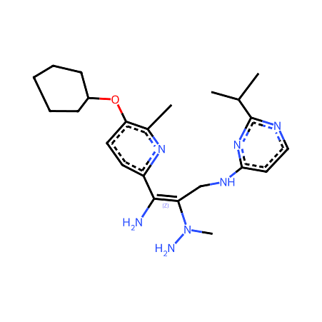 Cc1nc(/C(N)=C(\CNc2ccnc(C(C)C)n2)N(C)N)ccc1OC1CCCCC1